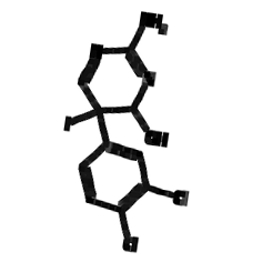 NC1=NC(O)C(I)(c2ccc(Cl)c(Cl)c2)C=N1